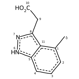 [CH2]c1cccc2[nH]nc(CC(=O)O)c12